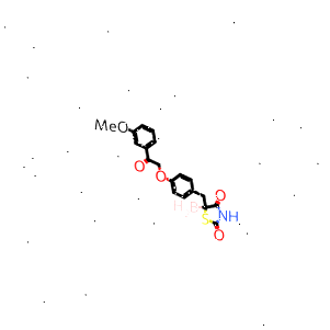 BC1(Cc2ccc(OCC(=O)c3cccc(OC)c3)cc2)SC(=O)NC1=O